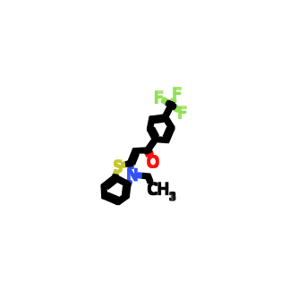 CCN1C(=CC(=O)c2ccc(C(F)(F)F)cc2)Sc2ccccc21